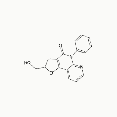 O=c1c2c(c3cccnc3n1-c1ccccc1)OC(CO)C2